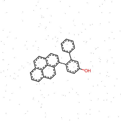 Oc1ccc(-c2ccc3ccc4cccc5ccc2c3c45)c(-c2ccccc2)c1